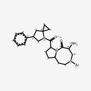 CC(=O)N1CCC2CCC(C(=O)N3CC(c4ccccc4)CC34CC4)N2C(=O)C(N)C1